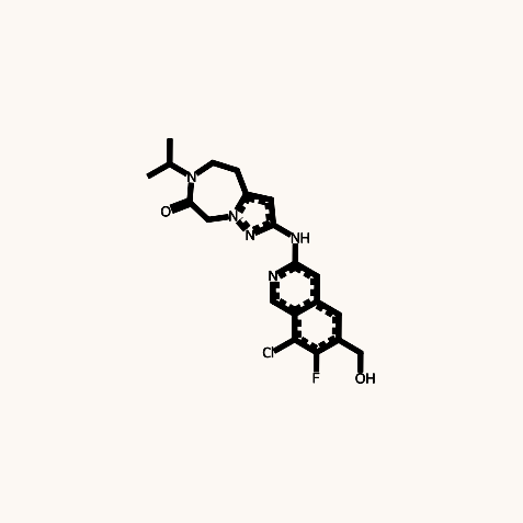 CC(C)N1CCc2cc(Nc3cc4cc(CO)c(F)c(Cl)c4cn3)nn2CC1=O